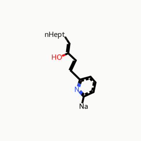 CCCCCCCC=C(O)C=Cc1ccc[c]([Na])n1